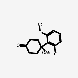 CCOc1cccc(Cl)c1C1(OC)CCC(=O)CC1